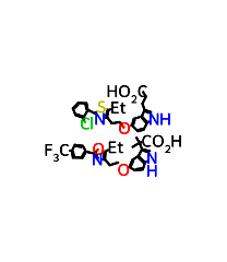 CCc1oc(-c2ccc(C(F)(F)F)cc2)nc1CCOc1ccc2[nH]cc(C(C)(C)C(=O)O)c2c1.CCc1sc(-c2ccccc2Cl)nc1CCOc1ccc2[nH]cc(CCC(=O)O)c2c1